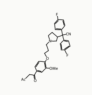 COc1cc(C(=O)CC(C)=O)ccc1OCCCN1CCC(C(C#N)(c2ccc(F)cc2)c2ccc(F)cc2)C1